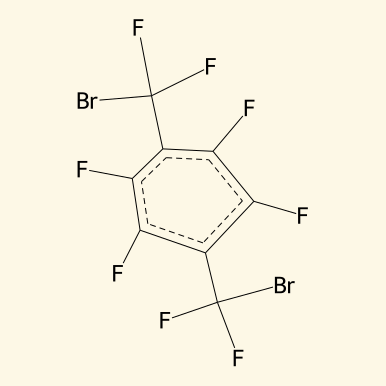 Fc1c(F)c(C(F)(F)Br)c(F)c(F)c1C(F)(F)Br